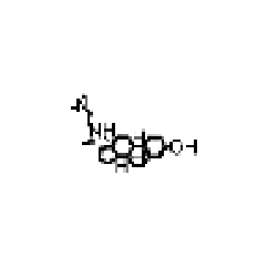 CC(NCCN(C)C)[C@H]1CC[C@H]2[C@@H]3CCc4cc(O)ccc4[C@H]3CC[C@]12C